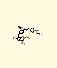 CCc1nn2c(C)cc(C)nc2c1Cc1ccc(C=CCN2CCN(C(=O)CN)CC2)cc1.Cl.Cl